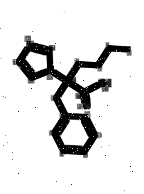 CCCCC(Cc1ccccc1)(C(=O)O)n1ccnc1